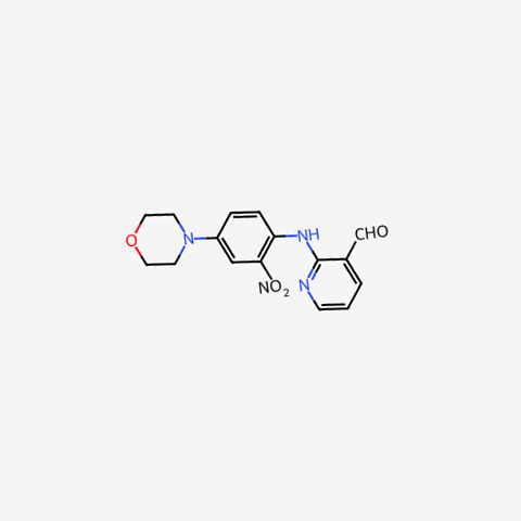 O=Cc1cccnc1Nc1ccc(N2CCOCC2)cc1[N+](=O)[O-]